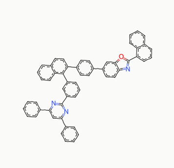 c1ccc(-c2cc(-c3ccccc3)nc(-c3cccc(-c4c(-c5ccc(-c6ccc7nc(-c8cccc9ccccc89)oc7c6)cc5)ccc5ccccc45)c3)n2)cc1